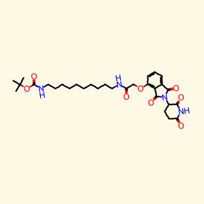 CC(C)(C)OC(=O)NCCCCCCCCCCNC(=O)COc1cccc2c1C(=O)N(C1CCC(=O)NC1=O)C2=O